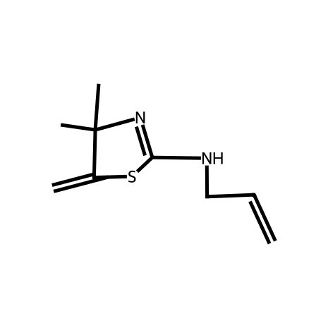 C=CCNC1=NC(C)(C)C(=C)S1